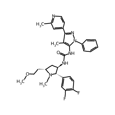 COCC[C@@H]1C[C@@H](NC(=O)Nc2c(C)c(-c3ccnc(C)c3)nn2-c2ccccc2)[C@H](c2ccc(F)c(F)c2)N1C